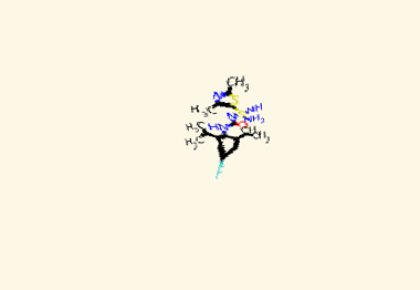 Cc1nc(C)c(S(=N)(N)=NC(=O)Nc2c(C(C)C)cc(F)cc2C(C)C)s1